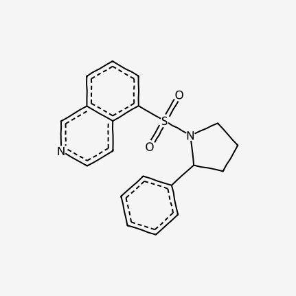 O=S(=O)(c1cccc2cnccc12)N1CCCC1c1ccccc1